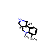 COc1cccc2c1N(C)C[C@@H]1CNC[C@H]21